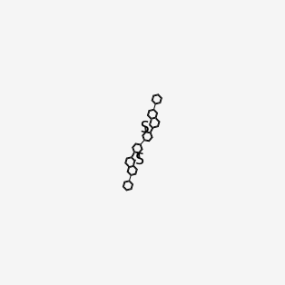 c1ccc(-c2ccc3c(ccc4c5ccc(-c6ccc7c(c6)sc6c8ccc(-c9ccccc9)cc8ccc76)cc5sc34)c2)cc1